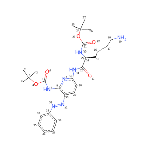 CC(C)(C)OC(=O)Nc1nc(NC(=O)[C@H](CCCCN)NC(=O)OC(C)(C)C)ccc1N=Nc1ccccc1